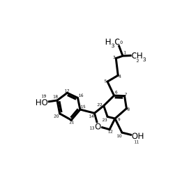 CC(C)CCCC1=CCC2(CO)COC(c3ccc(O)cc3)C1C2